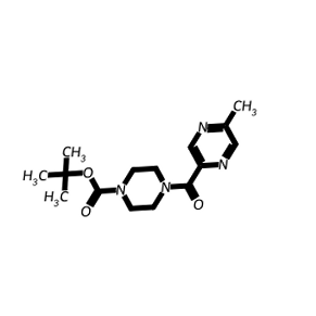 Cc1cnc(C(=O)N2CCN(C(=O)OC(C)(C)C)CC2)cn1